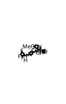 COc1ccc2ncc(CN3CCOCC3)c([C@H](O)CCC3(C(=O)O)CCN(CCNc4cc(F)cc(F)c4F)CC3)c2c1